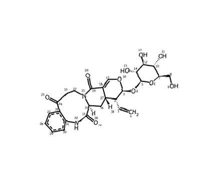 C=C[C@H]1[C@H](O[C@@H]2O[C@H](CO)[C@@H](O)[C@H](O)[C@H]2O)OC=C2C(=O)N3CCC(=O)c4ccccc4NC(=O)[C@@H]3C[C@H]21